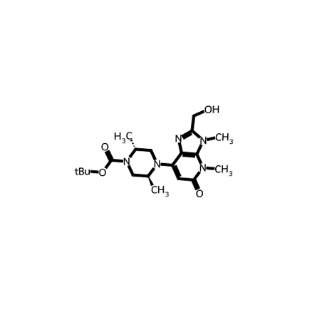 C[C@@H]1CN(c2cc(=O)n(C)c3c2nc(CO)n3C)[C@@H](C)CN1C(=O)OC(C)(C)C